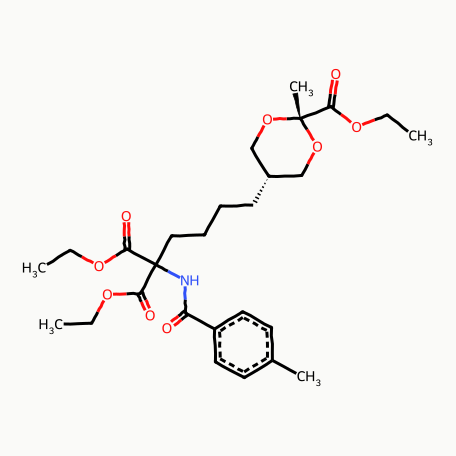 CCOC(=O)C(CCCC[C@H]1CO[C@@](C)(C(=O)OCC)OC1)(NC(=O)c1ccc(C)cc1)C(=O)OCC